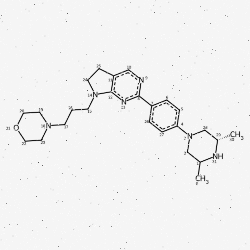 CC1CN(c2ccc(-c3ncc4c(n3)N(CCCN3CCOCC3)CC4)cc2)C[C@H](C)N1